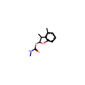 CNC(=O)OC1Oc2cccc(C)c2C1C